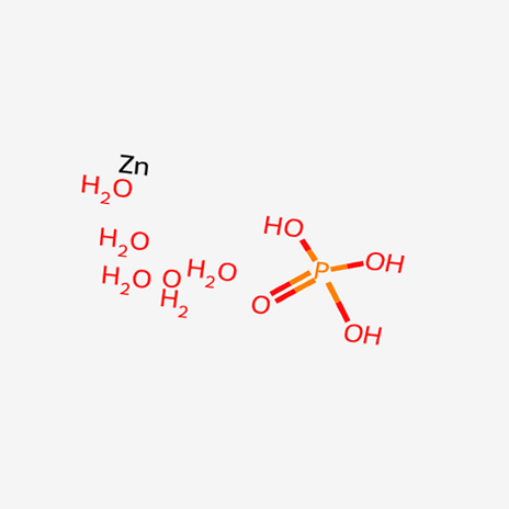 O.O.O.O.O.O=P(O)(O)O.[Zn]